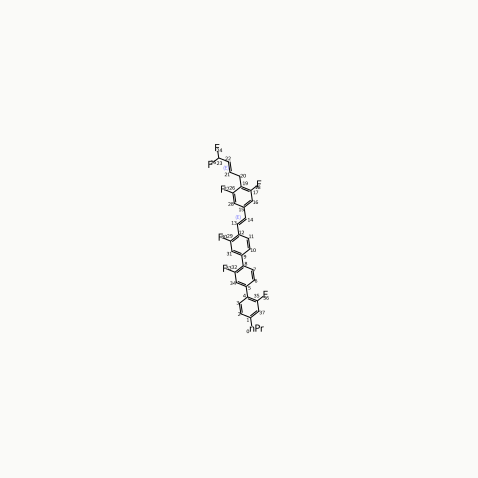 CCCc1ccc(-c2ccc(-c3ccc(/C=C/c4cc(F)c(C/C=C/C(F)F)c(F)c4)c(F)c3)c(F)c2)c(F)c1